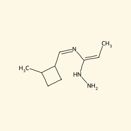 C/C=C(\N=C/C1CCC1C)NN